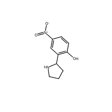 O=[N+]([O-])c1ccc(O)c(C2CCCN2)c1